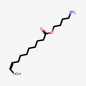 CCCCCCCC/C=C\CCCCCCCC(=O)OCCCCN